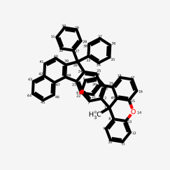 CC1(c2ccccc2)c2ccccc2Oc2cccc(-c3ccc4c(c3)C(c3ccccc3)(c3ccccc3)c3ccc5ccccc5c3-4)c21